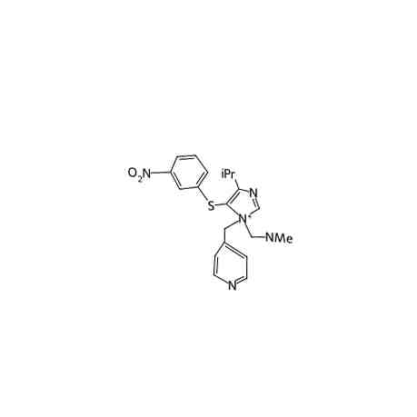 CNC[N+]1(Cc2ccncc2)C=NC(C(C)C)=C1Sc1cccc([N+](=O)[O-])c1